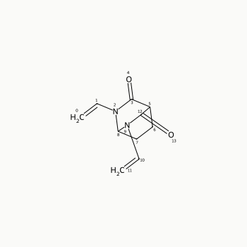 C=CN1C(=O)C2CCC1N(C=C)C2=O